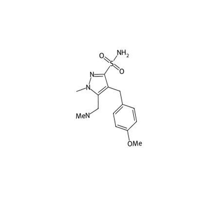 CNCc1c(Cc2ccc(OC)cc2)c(S(N)(=O)=O)nn1C